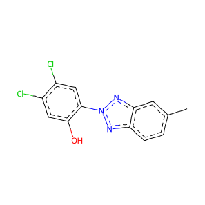 Cc1ccc2nn(-c3cc(Cl)c(Cl)cc3O)nc2c1